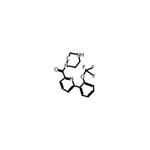 O=C(c1cccc(-c2ccccc2OC(F)(F)F)n1)N1CCNCC1